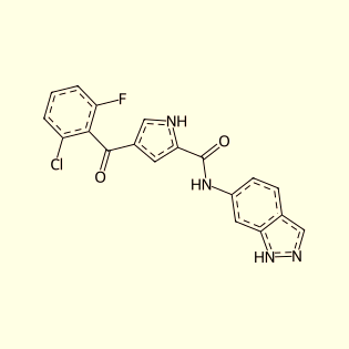 O=C(Nc1ccc2cn[nH]c2c1)c1cc(C(=O)c2c(F)cccc2Cl)c[nH]1